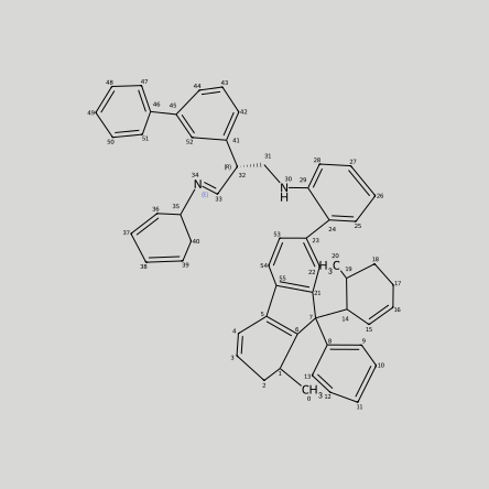 CC1CC=CC2=C1C(c1ccccc1)(C1C=CCCC1C)c1cc(-c3ccccc3NC[C@H](/C=N/C3C=CC=CC3)c3cccc(-c4ccccc4)c3)ccc12